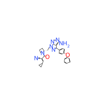 N#CC(=CC1CC1)C(=O)N1CCC[C@@H]1CCn1nc(-c2ccc(Oc3ccccc3)cc2)c2c(N)ncnc21